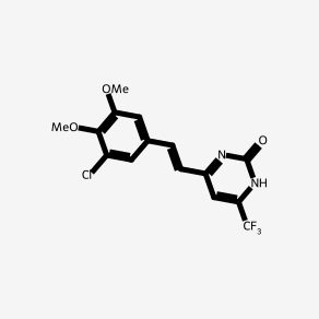 COc1cc(/C=C/c2cc(C(F)(F)F)[nH]c(=O)n2)cc(Cl)c1OC